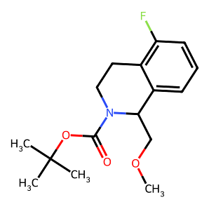 COCC1c2cccc(F)c2CCN1C(=O)OC(C)(C)C